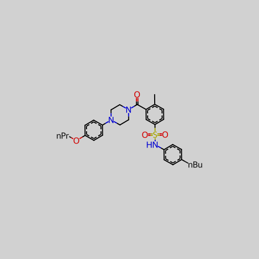 CCCCc1ccc(NS(=O)(=O)c2ccc(C)c(C(=O)N3CCN(c4ccc(OCCC)cc4)CC3)c2)cc1